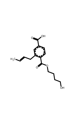 CC=CCc1cc(C(=O)O)ccc1C(=O)OCCCCO